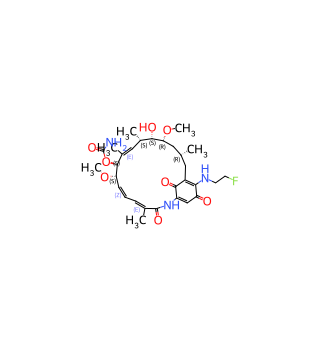 CO[C@H]1/C=C\C=C(/C)C(=O)NC2=CC(=O)C(NCCF)=C(C[C@@H](C)C[C@@H](OC)[C@@H](O)[C@@H](C)/C=C(\C)[C@@H]1OC(N)=O)C2=O